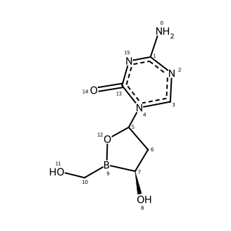 Nc1ncn(C2C[C@@H](O)B(CO)O2)c(=O)n1